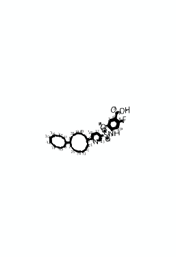 COc1cc(C(=O)O)c(F)cc1NS(=O)(=O)c1ccc(C2CCCCCCC(C3CCCCCCCC3)CCCCC2)nc1